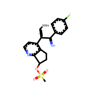 CN/C=C(\C(=N)c1ccc(F)cc1)c1ccnc2c1CCC2OS(C)(=O)=O